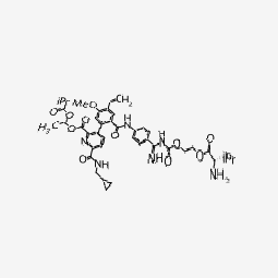 C=Cc1cc(C(=O)Nc2ccc(C(=N)NC(=O)OCCOC(=O)[C@@H](N)C(C)C)cc2)c(-c2ccc(C(=O)NCC3CC3)nc2C(=O)OC(C)OC(=O)C(C)C)cc1OC